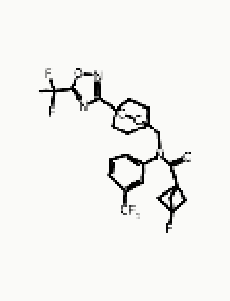 CC(F)(F)c1nc(C23CCC(CN(C(=O)C45CC(F)(C4)C5)c4cccc(C(F)(F)F)c4)(CC2)CC3)no1